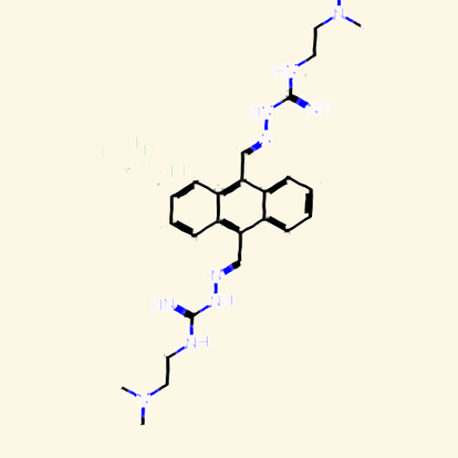 CN(C)CCNC(=N)NN=Cc1c2ccccc2c(C=NNC(=N)NCCN(C)C)c2ccccc12.Cl.Cl.Cl.Cl